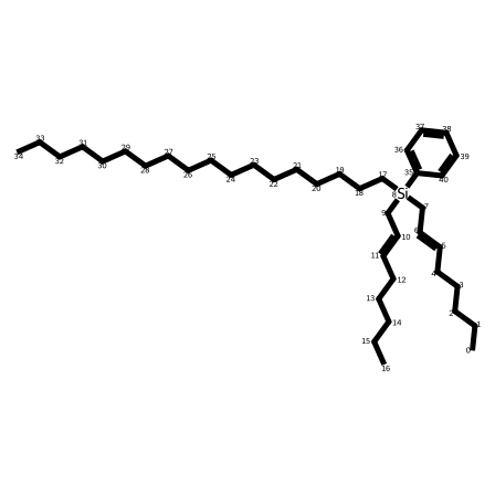 CCCCCC=CC[Si](CC=CCCCCC)(CCCCCCCCCCCCCCCCCC)c1ccccc1